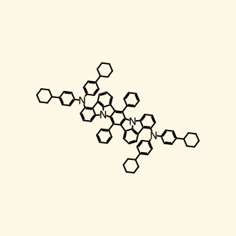 c1ccc(-c2c3c4cccc5c6c(N(c7ccc(C8CCCCC8)cc7)c7ccc(C8CCCCC8)cc7)cccc6n(c3c(-c3ccccc3)c3c6cccc7c8c(N(c9ccc(C%10CCCCC%10)cc9)c9ccc(C%10CCCCC%10)cc9)cccc8n(c23)c76)c54)cc1